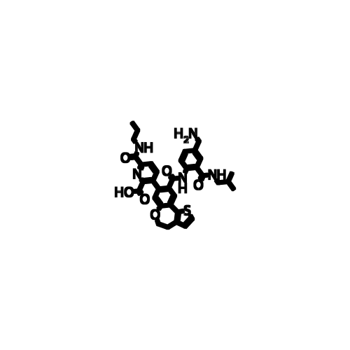 CCCNC(=O)c1ccc(-c2cc3c(cc2C(=O)Nc2ccc(CN)cc2C(=O)NCC(C)C)-c2sccc2CCO3)c(C(=O)O)n1